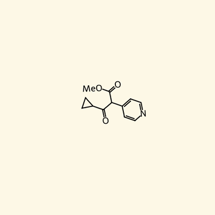 COC(=O)C(C(=O)C1CC1)c1ccncc1